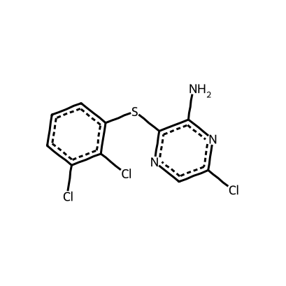 Nc1nc(Cl)cnc1Sc1cccc(Cl)c1Cl